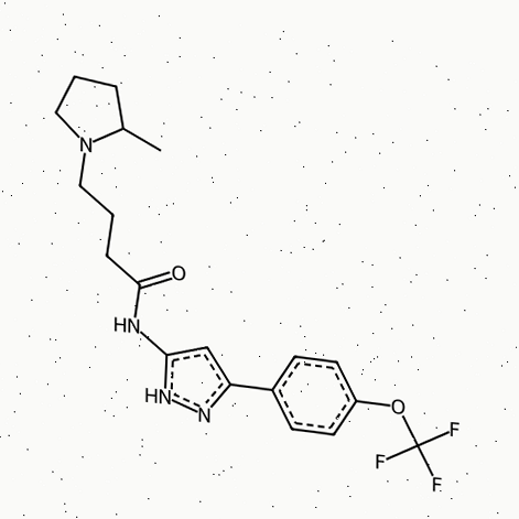 CC1CCCN1CCCC(=O)Nc1cc(-c2ccc(OC(F)(F)F)cc2)n[nH]1